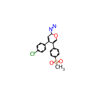 CS(=O)(=O)c1ccc(C2=COC(N=[N])C=C2c2ccc(Cl)cc2)cc1